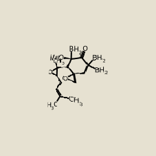 BC1(B)C[C@]2(CO2)[C@@H](C2(C)O[C@@H]2CC=C(C)C)[C@@](B)(OC)C1=O